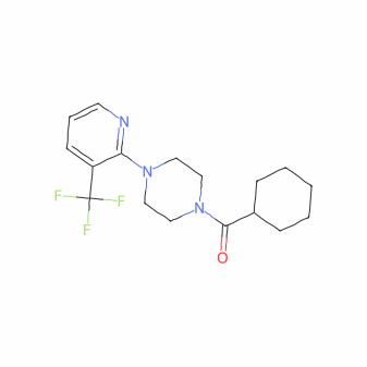 O=C(C1CCCCC1)N1CCN(c2ncccc2C(F)(F)F)CC1